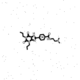 CCCn1c(=O)c2[nH]c(C34CCC(C(=O)NCCN(C)C)(CC3)CC4)nc2n(CCC)c1=O